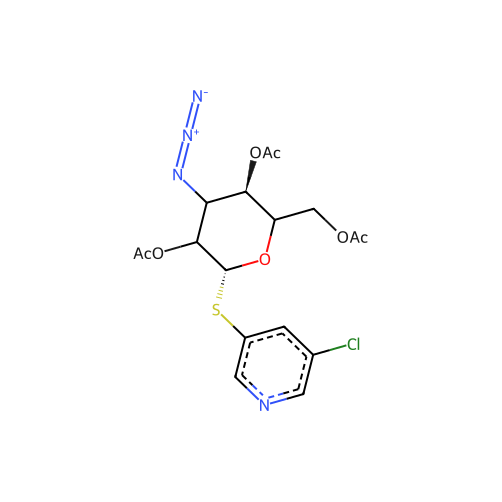 CC(=O)OCC1O[C@H](Sc2cncc(Cl)c2)C(OC(C)=O)C(N=[N+]=[N-])[C@H]1OC(C)=O